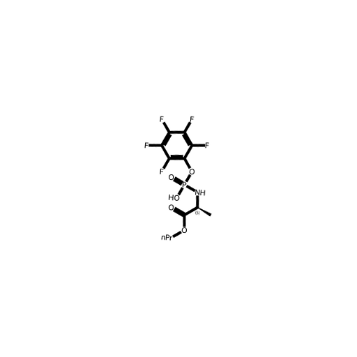 CCCOC(=O)[C@H](C)NP(=O)(O)Oc1c(F)c(F)c(F)c(F)c1F